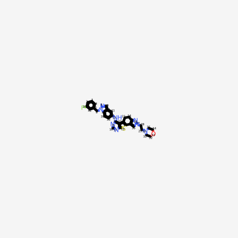 Fc1cccc(Cn2ncc3cc(Nc4ncnc5sc6c(c45)CCc4nn(CCN5CCOCC5)cc4-6)ccc32)c1